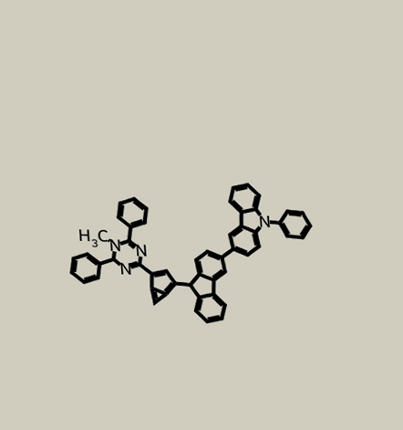 CN1C(c2ccccc2)=NC(c2cc(C3c4ccccc4-c4cc(-c5ccc6c(c5)c5ccccc5n6-c5ccccc5)ccc43)c3cc2-3)=NC1c1ccccc1